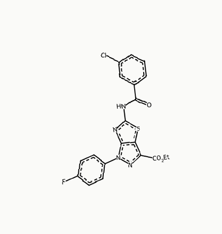 CCOC(=O)c1nn(-c2ccc(F)cc2)c2nc(NC(=O)c3cccc(Cl)c3)sc12